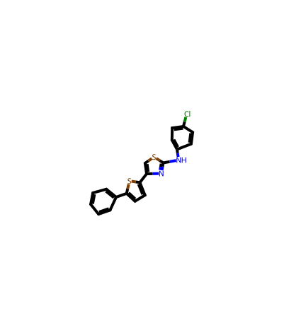 Clc1ccc(Nc2nc(-c3ccc(-c4ccccc4)s3)cs2)cc1